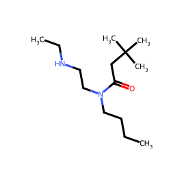 CCCCN(CCNCC)C(=O)CC(C)(C)C